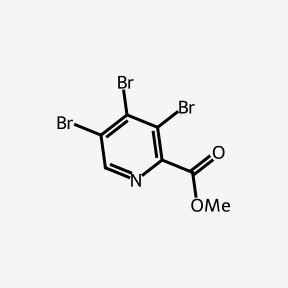 COC(=O)c1ncc(Br)c(Br)c1Br